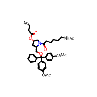 COc1ccc(C(OCC2C[C@@H](OC(=O)CCC(C)=O)CN2C(=O)CCCCCNC(C)=O)(c2ccccc2)c2ccc(OC)cc2)cc1